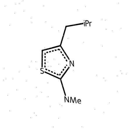 CNc1nc(CC(C)C)cs1